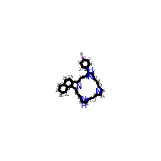 Ic1ccc(-c2cc3cc4nc(cc5ccc(cc6nc(cc2[nH]3)-c2ccc3ccccc3c2-6)[nH]5)C=C4)cc1